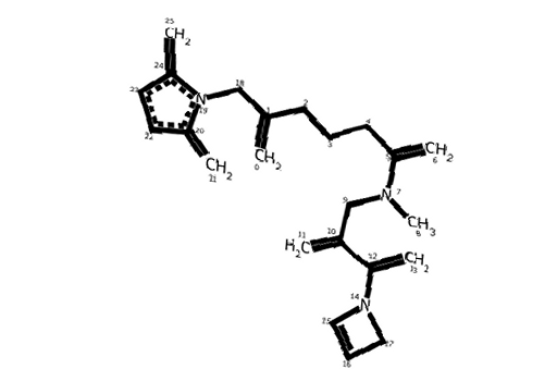 C=C(CCCC(=C)N(C)CC(=C)C(=C)N1C=CC1)Cn1c(=C)ccc1=C